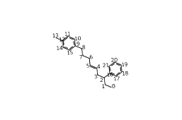 CCC(C/C=C/CCCc1ccc(C)cc1)c1ccccc1